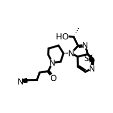 C[C@@H](O)C1=NC23SC=CC2=NC=CC3N1[C@H]1CCCN(C(=O)CCC#N)C1